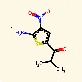 CC(C)C(=O)c1cc([N+](=O)[O-])c(N)s1